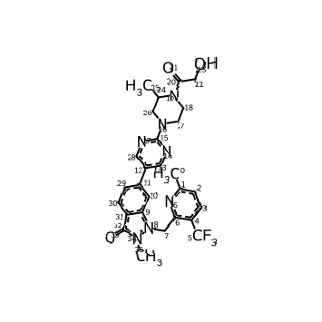 Cc1ccc(C(F)(F)F)c(Cn2c3cc(-c4cnc(N5CCN(C(=O)CO)C(C)C5)nc4)ccc3c(=O)n2C)n1